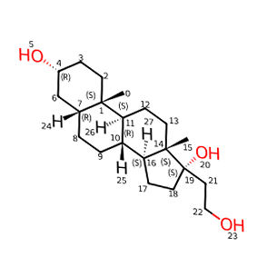 C[C@]12CC[C@@H](O)C[C@H]1CC[C@@H]1[C@@H]2CC[C@@]2(C)[C@H]1CC[C@]2(O)CCO